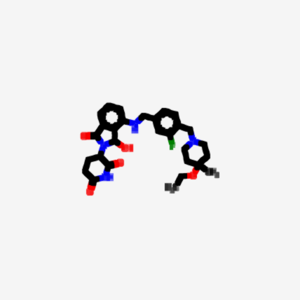 CCOC1(C)CCN(Cc2ccc(CNc3cccc4c3C(O)N(C3CCC(=O)NC3=O)C4=O)cc2F)CC1